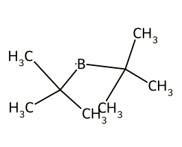 CC(C)(C)[B]C(C)(C)C